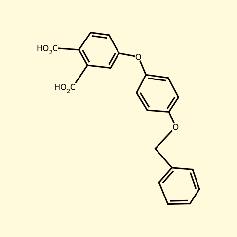 O=C(O)c1ccc(Oc2ccc(OCc3ccccc3)cc2)cc1C(=O)O